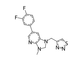 CN1CN(Cc2csnn2)c2cc(-c3ccc(F)c(F)c3)cnc21